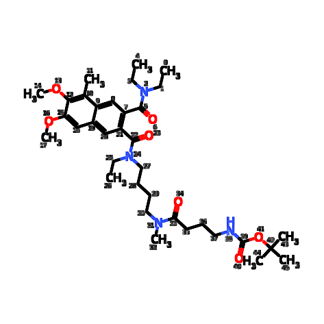 CCN(CC)C(=O)c1cc2c(C)c(OC)c(OC)cc2cc1C(=O)N(CC)CCCCN(C)C(=O)CCCNC(=O)OC(C)(C)C